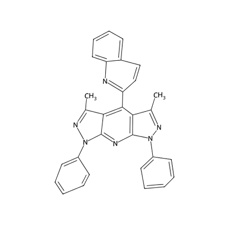 Cc1nn(-c2ccccc2)c2nc3c(c(C)nn3-c3ccccc3)c(-c3ccc4ccccc4n3)c12